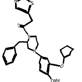 COc1ccc(N2CCN(C(=O)Cc3cncs3)C(Cc3ccccc3)C2)cc1OC1CCCC1